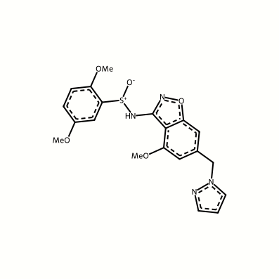 COc1ccc(OC)c([S+]([O-])Nc2noc3cc(Cn4cccn4)cc(OC)c23)c1